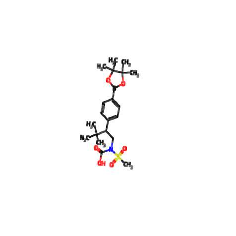 CC(C)(C)C(CN(C(=O)O)S(C)(=O)=O)c1ccc(B2OC(C)(C)C(C)(C)O2)cc1